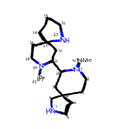 CNN1CCC2(CCNC2)CC1C1CC2(CCCN2)CCN1C(C)C